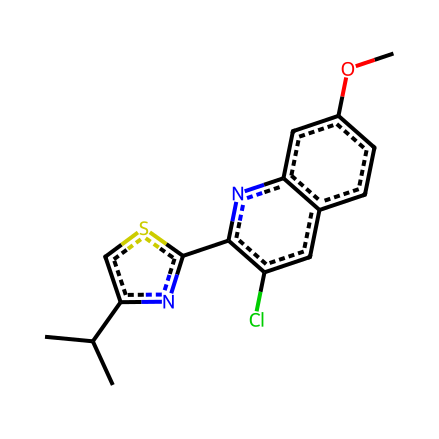 COc1ccc2cc(Cl)c(-c3nc(C(C)C)cs3)nc2c1